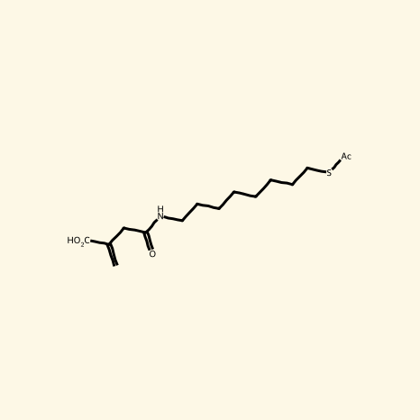 C=C(CC(=O)NCCCCCCCCSC(C)=O)C(=O)O